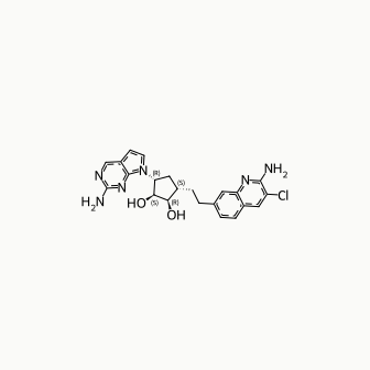 Nc1ncc2ccn([C@@H]3C[C@H](CCc4ccc5cc(Cl)c(N)nc5c4)[C@@H](O)[C@H]3O)c2n1